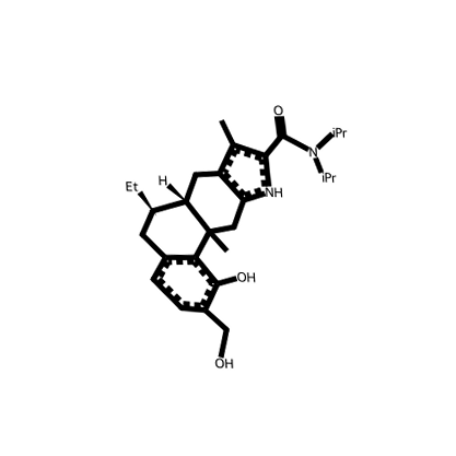 CC[C@@H]1Cc2ccc(CO)c(O)c2C2(C)Cc3[nH]c(C(=O)N(C(C)C)C(C)C)c(C)c3C[C@@H]12